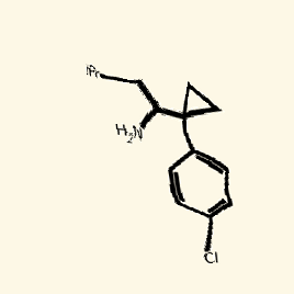 CC(C)CC(N)C1(c2ccc(Cl)cc2)CC1